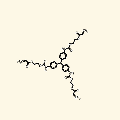 C=CC(=O)OCCOC(=O)Nc1ccc(C(c2ccc(NC(=O)OCCOC(=O)C=C)cc2)c2ccc(NC(=O)OCCOC(=O)C=C)cc2)cc1